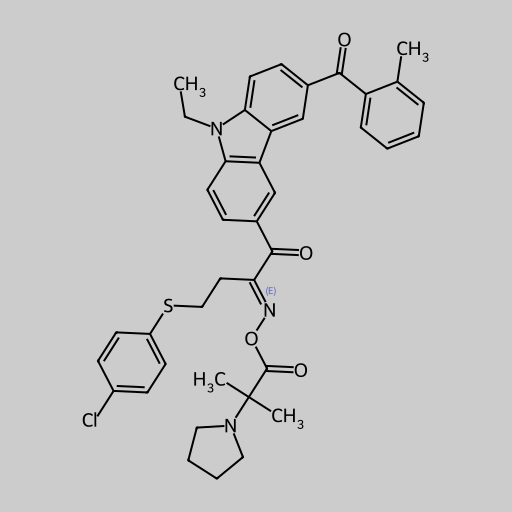 CCn1c2ccc(C(=O)/C(CCSc3ccc(Cl)cc3)=N/OC(=O)C(C)(C)N3CCCC3)cc2c2cc(C(=O)c3ccccc3C)ccc21